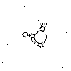 Cn1ncc2c1OCCCOc1ccc(C(=O)O)cc1/C=C/c1nn(C3CCCCO3)c3cnc-2cc13